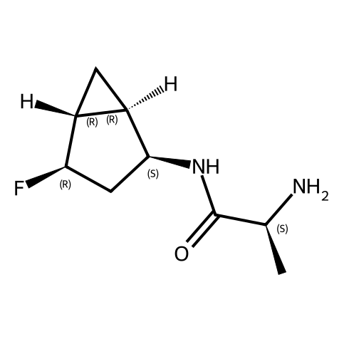 C[C@H](N)C(=O)N[C@H]1C[C@@H](F)[C@@H]2C[C@H]21